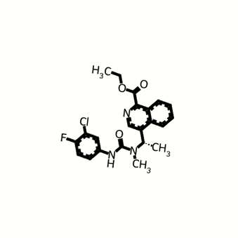 CCOC(=O)c1ncc([C@H](C)N(C)C(=O)Nc2ccc(F)c(Cl)c2)c2ccccc12